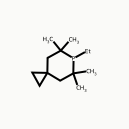 CCP1C(C)(C)CC2(CC2)CC1(C)C